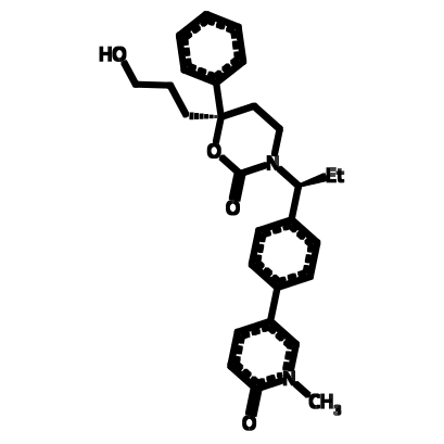 CC[C@@H](c1ccc(-c2ccc(=O)n(C)c2)cc1)N1CC[C@](CCCO)(c2ccccc2)OC1=O